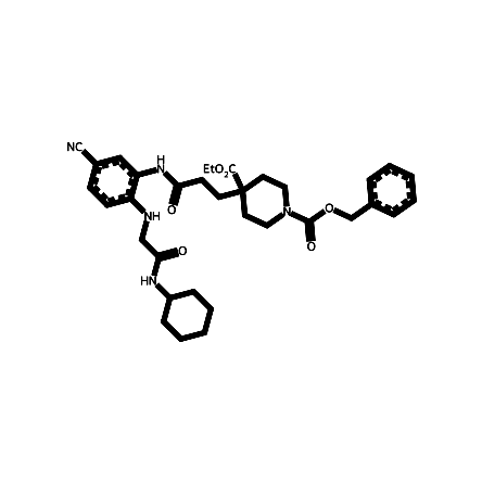 CCOC(=O)C1(CCC(=O)Nc2cc(C#N)ccc2NCC(=O)NC2CCCCC2)CCN(C(=O)OCc2ccccc2)CC1